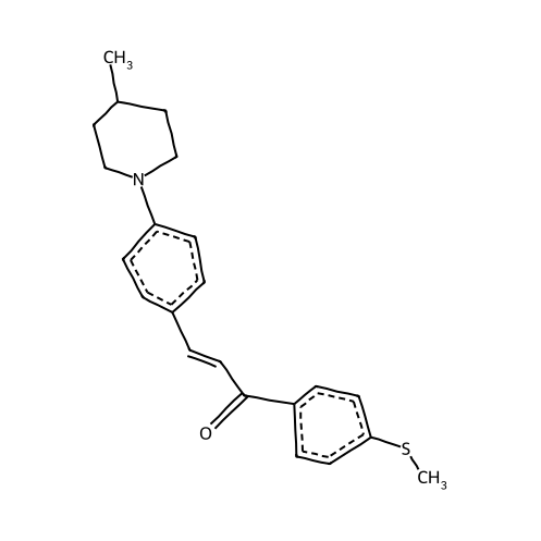 CSc1ccc(C(=O)/C=C/c2ccc(N3CCC(C)CC3)cc2)cc1